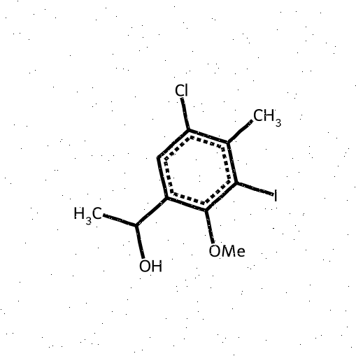 COc1c(C(C)O)cc(Cl)c(C)c1I